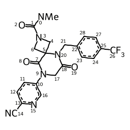 CNC(=O)N1CC2(C1)C(=O)N(c1ccc(C#N)nc1)CC(=O)N2Cc1ccc(C(F)(F)F)cc1